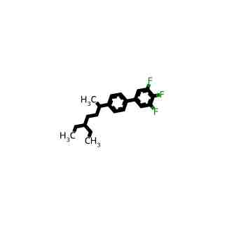 CCC(CC)CCC(C)c1ccc(-c2cc(F)c(F)c(F)c2)cc1